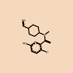 C=C(c1nc(C#N)ccc1CC)N(C)C1CCC(C=N)CC1